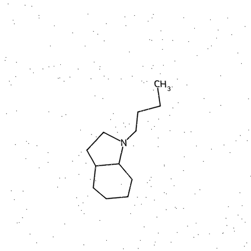 CCCCN1CCC2CCCCC21